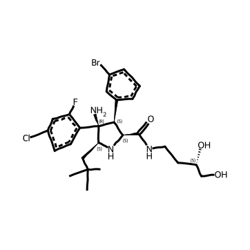 CC(C)(C)C[C@@H]1N[C@H](C(=O)NCC[C@H](O)CO)[C@H](c2cccc(Br)c2)[C@@]1(N)c1ccc(Cl)cc1F